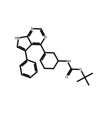 CC(C)(C)OC(=O)NC1CCC=C(c2ncnc3[nH]cc(-c4ccccc4)c23)C1